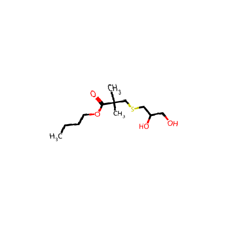 CCCCOC(=O)C(C)(C)CSCC(O)CO